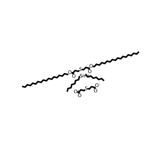 CCCCCCCCCCCCCCCCCCOC(=O)CCSCCC(=O)OCCCCCCCCCCCCCCCCCC.CCCCCCC[CH2][Sn+2][CH2]CCCCCCC.O=C([O-])CCSCCC(=O)[O-]